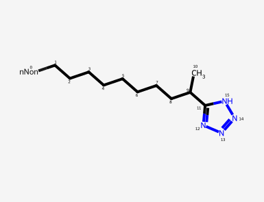 CCCCCCCCCCCCCCCCCC(C)c1nnn[nH]1